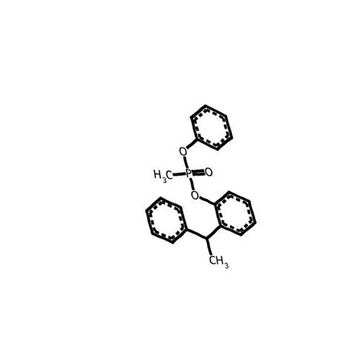 CC(c1ccccc1)c1ccccc1OP(C)(=O)Oc1ccccc1